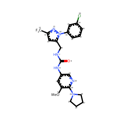 COc1cc(NC(=O)NCc2cc(C(F)(F)F)nn2-c2cccc(Cl)c2)cnc1N1CCCC1